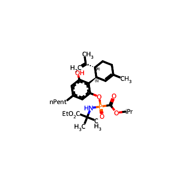 C=C(C)[C@@H]1CCC(C)=C[C@H]1c1c(O)cc(CCCCC)cc1OP(=O)(NC(C)(C)C(=O)OCC)C(=O)OC(C)C